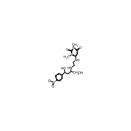 CC(CC(O)c1ccc([N+](=O)[O-])cc1)NCCNc1cc(=O)n(C)c(=O)n1C.Cl